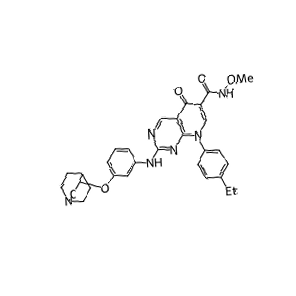 CCc1ccc(-n2cc(C(=O)NOC)c(=O)c3cnc(Nc4cccc(OC5CN6CCC5CC6)c4)nc32)cc1